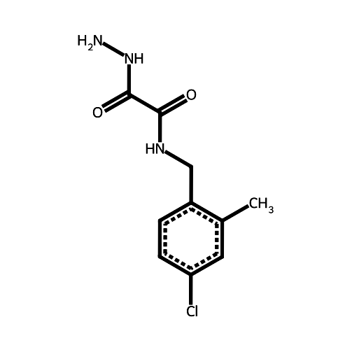 Cc1cc(Cl)ccc1CNC(=O)C(=O)NN